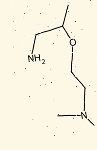 CC(CN)OCCN(C)C